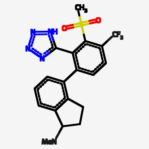 CNC1CCc2c(-c3ccc(C(F)(F)F)c(S(C)(=O)=O)c3-c3nnn[nH]3)cccc21